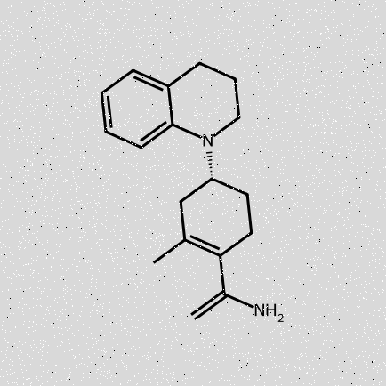 C=C(N)C1=C(C)C[C@H](N2CCCc3ccccc32)CC1